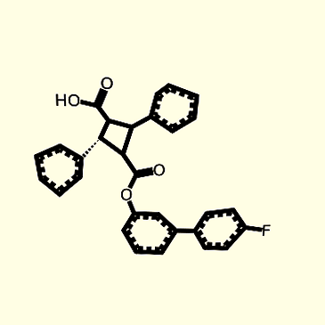 O=C(O)C1C(c2ccccc2)C(C(=O)Oc2cccc(-c3ccc(F)cc3)c2)[C@@H]1c1ccccc1